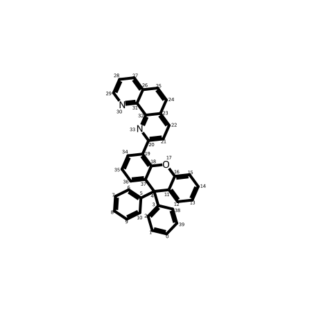 c1ccc(C2(c3ccccc3)c3ccccc3Oc3c(-c4ccc5ccc6cccnc6c5n4)cccc32)cc1